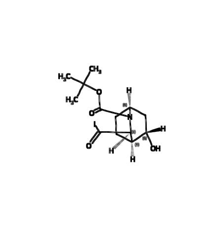 CC(C)(C)OC(=O)N1[C@H]2CC[C@@H]([C@H]1C(=O)I)[C@@H](O)C2